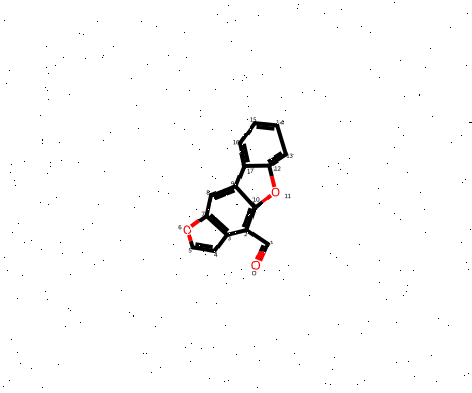 O=Cc1c2ccoc2cc2c1oc1ccccc12